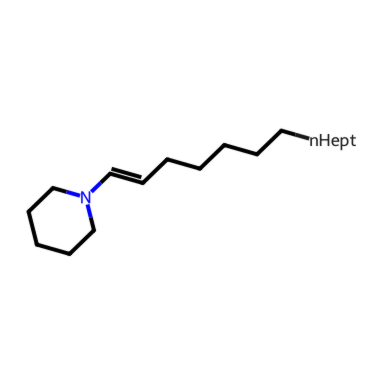 CCCCCCCCCCCCC=CN1CCCCC1